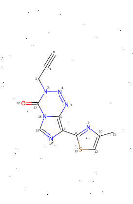 C#CCn1nnc2c(-c3nc(C)cs3)ncn2c1=O